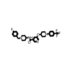 O=C(NC1CCN(Cc2ccc(F)cc2)CC1)c1cncc(OC2CCN(c3ccc(C(F)(F)F)cc3)CC2)c1